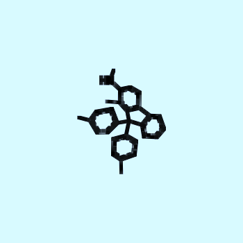 CNc1ccc2c(c1C)C(c1ccc(C)cc1)(c1ccc(C)cc1)c1ccccc1-2